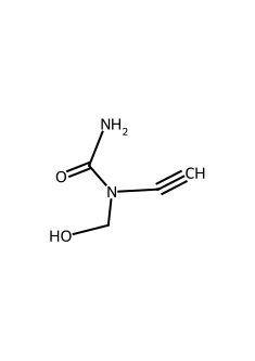 C#CN(CO)C(N)=O